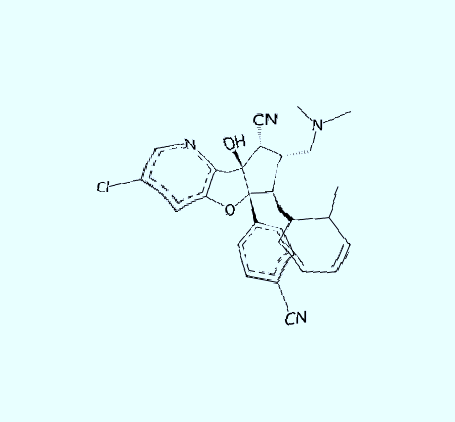 CC1C=CC=CC1[C@@H]1[C@@H](CN(C)C)[C@@H](C#N)[C@@]2(O)c3ncc(Cl)cc3O[C@@]12c1ccc(C#N)cc1